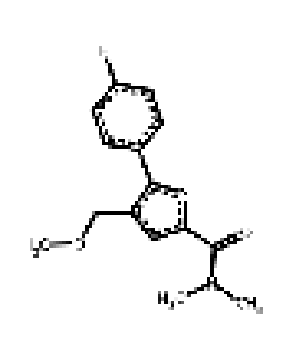 COCc1cc(C(=O)N(C)C)sc1-c1ccc(F)cc1